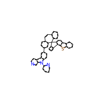 C1=Cc2ccc(-c3ccc4c(c3)c3ccncc3n4-c3ccccn3)cc2C2(c3ccccc31)c1ccccc1-c1c2ccc2c1sc1ccccc12